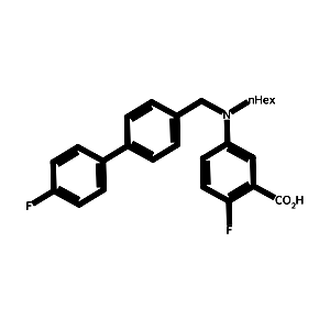 CCCCCCN(Cc1ccc(-c2ccc(F)cc2)cc1)c1ccc(F)c(C(=O)O)c1